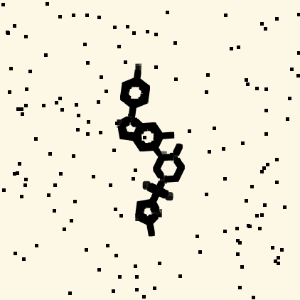 Cc1nc(S(=O)(=O)N2CCN(C)[C@H](c3cc4cnn(-c5ccc(F)cc5)c4cc3C)C2)cs1